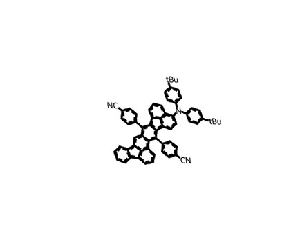 CC(C)(C)c1ccc(N(c2ccc(C(C)(C)C)cc2)c2ccc3c4c(-c5ccc(C#N)cc5)c5c(cc6c7ccccc7c7cccc5c76)c(-c5ccc(C#N)cc5)c4c4cccc2c43)cc1